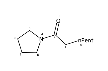 [CH2]CCCCCC(=O)N1CCCC1